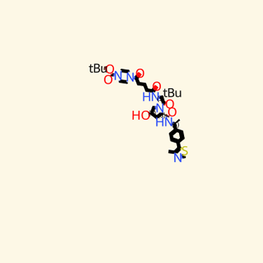 Cc1ncsc1-c1ccc([C@H](C)NC(=O)[C@@H]2C[C@@H](O)CN2C(=O)[C@@H](NC(=O)CCCC(=O)N2CCN(C(=O)OC(C)(C)C)CC2)C(C)(C)C)cc1